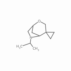 CC(C)N1CC2CC1C1(CC1)CO2